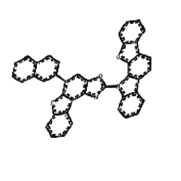 c1ccc2cc(-c3cc4oc(-n5c6ccccc6c6ccc7c8ccccc8oc7c65)nc4c4c3sc3ccccc34)ccc2c1